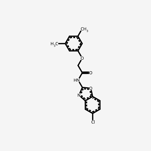 Cc1cc(C)cc(OCC(=O)Nc2nc3cc(Cl)ccc3o2)c1